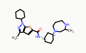 Cc1nn(C2CCCCC2)c2sc(C(=O)N[C@H]3CCC[C@H](N4CCCNC(C)C4)C3)cc12